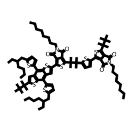 CCCCCCCCN1C(=O)c2c(-c3ccc(C(C)(C)C(C)(C)c4sc(-c5cc6c(-c7ccc(CC(CC)CCCC)s7)c7sc(C(C)(C)C(C)(C)C)cc7c(-c7ccc(CC(CC)CCCC)s7)c6s5)c5c4C(=O)N(CCCCCCCC)C5=O)s3)sc(C(C)(C)C(C)(C)C)c2C1=O